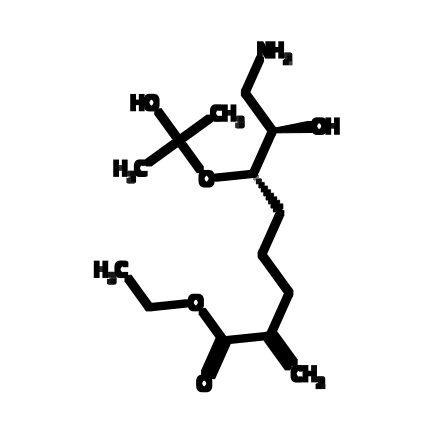 C=C(CCC[C@H](OC(C)(C)O)[C@H](O)CN)C(=O)OCC